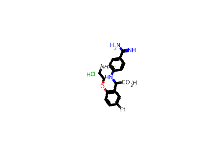 CCc1ccc(OCCNC(C)=O)c(C(Nc2ccc(C(=N)N)cc2)C(=O)O)c1.Cl